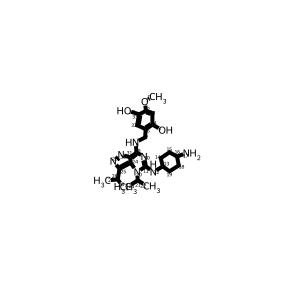 COc1cc(O)c(CNc2nc(NC3CCC(N)CC3)n(C(C)C)c3c(C(C)C)nnc2-3)cc1O